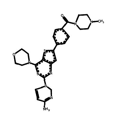 CN1CCN(C(=O)c2ccc(-c3cc4nc(N5C=CC(N)=NC5)nc(N5CCOCC5)c4s3)cc2)CC1